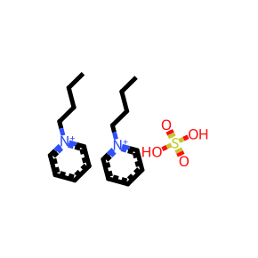 CCCC[n+]1ccccc1.CCCC[n+]1ccccc1.O=S(=O)(O)O